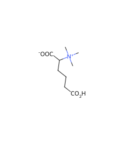 C[N+](C)(C)C(CCCC(=O)O)C(=O)[O-]